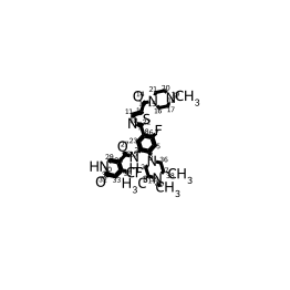 C[C@@H]1CN(c2cc(F)c(-c3ncc(C(=O)N4CCN(C)CC4)s3)cc2NC(=O)c2c[nH]c(=O)cc2C(F)(F)F)C[C@H](C)N1C